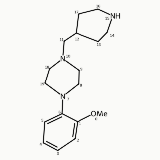 COc1ccccc1N1CCN(CC2CCNCC2)CC1